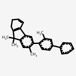 Cc1cc(-c2ccccc2)ccc1-c1cc2c(cc1C)C(C)(C)C1=C2C=CCC1